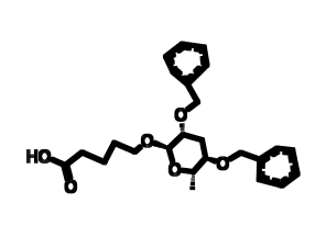 C[C@@H]1O[C@@H](OCCCCC(=O)O)[C@H](OCc2ccccc2)C[C@H]1OCc1ccccc1